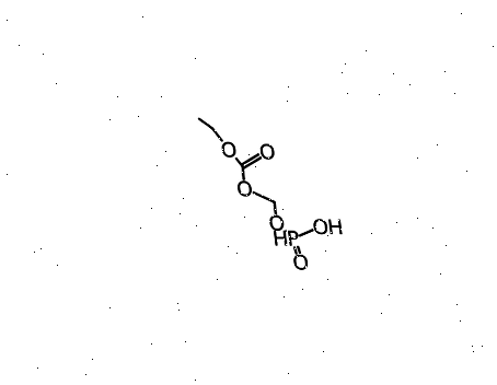 CCOC(=O)OCO[PH](=O)O